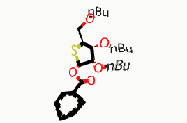 CCCCOC[C@@H]1SC(OC(=O)c2ccccc2)[C@H](OCCCC)[C@H]1OCCCC